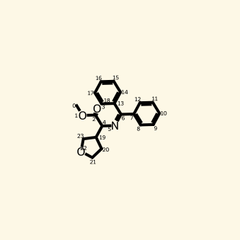 COC(=O)C(N=C(c1ccccc1)c1ccccc1)C1CCOC1